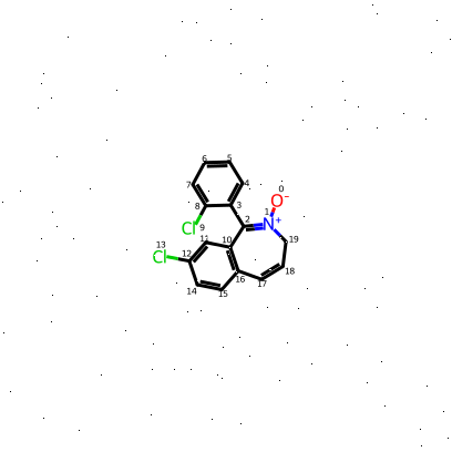 [O-][N+]1=C(c2ccccc2Cl)c2cc(Cl)ccc2C=CC1